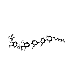 C=CCCc1cnc(-c2ccc(-c3ccc(-c4cc(F)c(C(F)(F)Oc5ccc(OC(F)(F)F)c(F)c5)c(F)c4)c(F)c3)c(F)c2)nc1